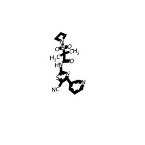 CC(C)(C(=O)Nc1nc(-c2cccnc2)c(C#N)s1)S(=O)(=O)N1CCC1